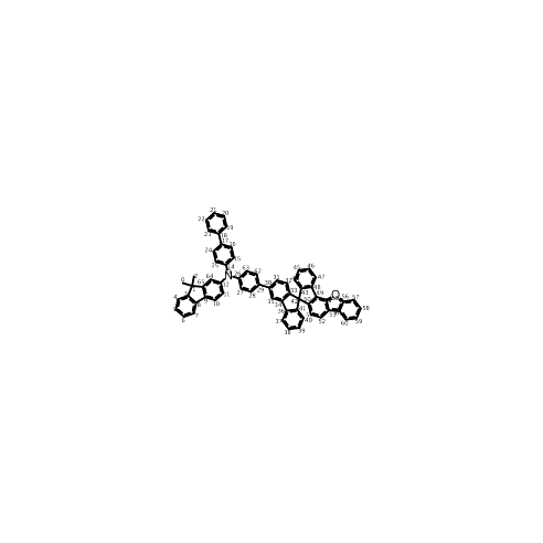 CC1(C)c2ccccc2-c2ccc(N(c3ccc(-c4ccccc4)cc3)c3ccc(-c4ccc5c(c4)-c4ccccc4C54c5ccccc5-c5c4ccc4c5oc5ccccc54)cc3)cc21